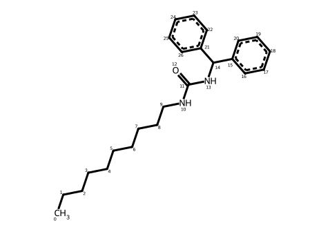 CCCCCCCCCCNC(=O)NC(c1ccccc1)c1ccccc1